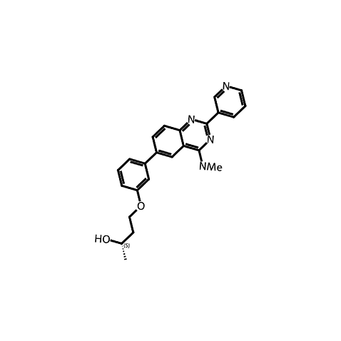 CNc1nc(-c2cccnc2)nc2ccc(-c3cccc(OCC[C@H](C)O)c3)cc12